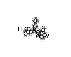 CC1(C)c2ccccc2-c2ccc(N(c3ccc(-c4ccccc4)cc3)c3cc(-c4ccccc4)c4c(c3)oc3ccc5ccccc5c34)cc21